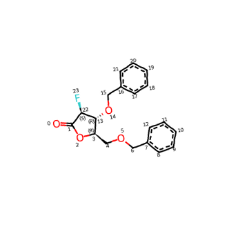 O=C1O[C@H](COCc2ccccc2)[C@@H](OCc2ccccc2)[C@@H]1F